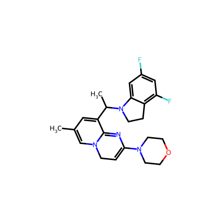 CC1=CN2CC=C(N3CCOCC3)N=C2C(C(C)N2CCc3c(F)cc(F)cc32)=C1